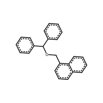 [CH](OC(c1ccccc1)c1ccccc1)c1cccc2ccccc12